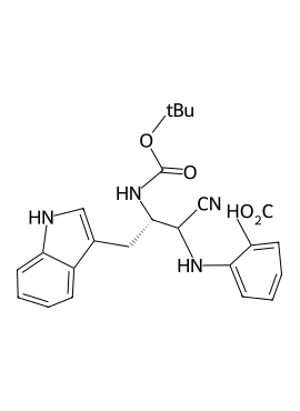 CC(C)(C)OC(=O)N[C@@H](Cc1c[nH]c2ccccc12)C(C#N)Nc1ccccc1C(=O)O